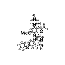 C=C(F)C(=O)Nc1cc(Nc2cc(N3OCC[C@@H]3c3cccc(Oc4ccccc4)c3)ncn2)c(OC)cc1N1CCN(C)CC1